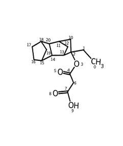 CCC1(OC(=O)CC(=O)O)CC2CC1C1C3CCC(C3)C21